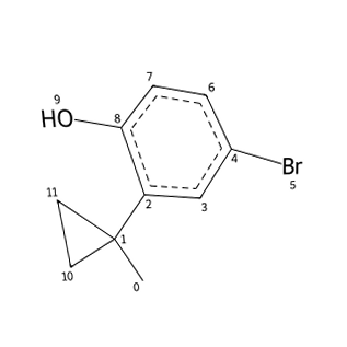 CC1(c2cc(Br)ccc2O)CC1